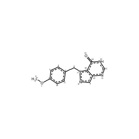 COc1ccc(Cn2ncc3nc[nH]c(=O)c32)cc1